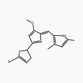 COC1=CC(C2CC=C(Br)S2)=N/C1=C\c1[nH]c(C)cc1C